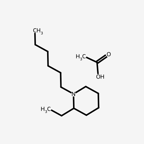 CC(=O)O.CCCCCCN1CCCCC1CC